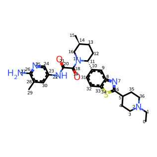 CCN1CCC(c2nc3cc([C@H]4CC[C@H](C)CN4C(=O)C(=O)Nc4cnc(N)c(C)c4)ccc3s2)CC1